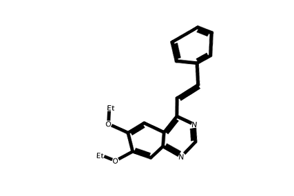 CCOc1cc2ncnc(C=Cc3ccccc3)c2cc1OCC